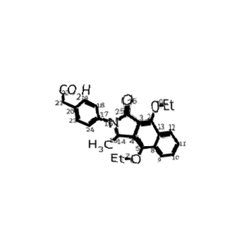 CCOc1c2c(c(OCC)c3ccccc13)C(C)N(c1ccc(CC(=O)O)cc1)C2=O